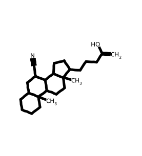 C=C(O)CCCC1CCC2C3C(C#N)CC4CCCCC4(C)C3CCC12C